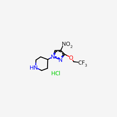 Cl.O=[N+]([O-])c1cn(C2CCNCC2)nc1OCC(F)(F)F